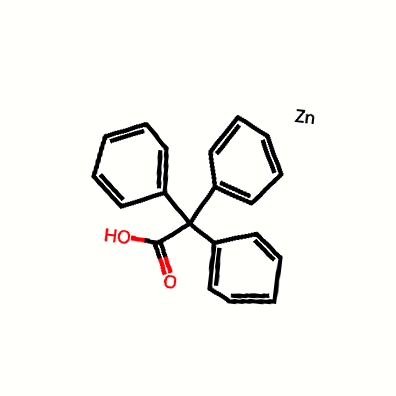 O=C(O)C(c1ccccc1)(c1ccccc1)c1ccccc1.[Zn]